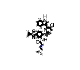 CN(C)C/C=C/C(=O)Nc1cc(S(=N)(=O)C2CC2)ccc1Nc1ncc(Cl)c(-c2c[nH]c3ccccc23)n1